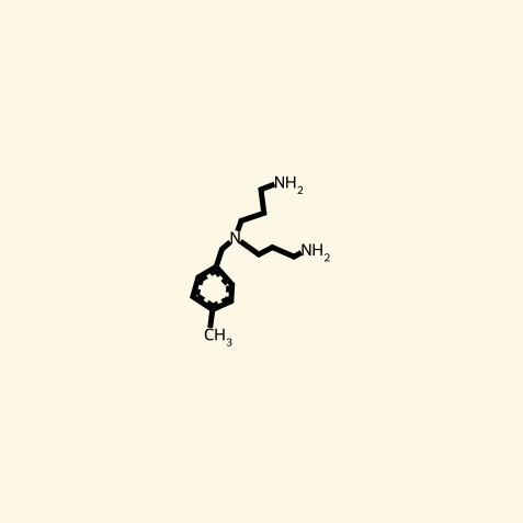 Cc1ccc(CN(CCCN)CCCN)cc1